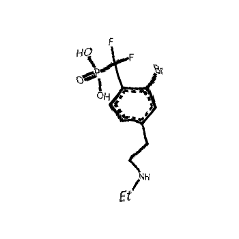 CCNCCc1ccc(C(F)(F)P(=O)(O)O)c(Br)c1